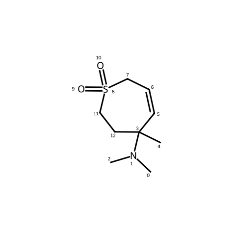 CN(C)C1(C)C=CCS(=O)(=O)CC1